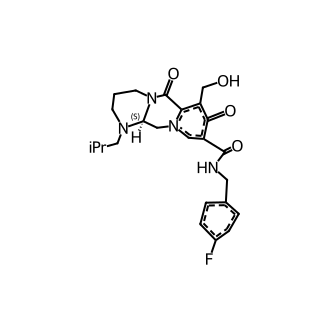 CC(C)CN1CCCN2C(=O)c3c(CO)c(=O)c(C(=O)NCc4ccc(F)cc4)cn3C[C@@H]12